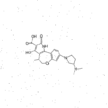 CC1COc2cc(N3CCC(N(C)C)C3)ccc2-c2[nH]c(=O)c(C(=O)O)c(O)c21